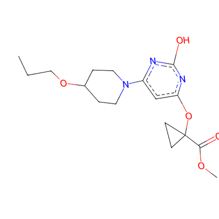 CCCOC1CCN(c2cc(OC3(C(=O)OC)CC3)nc(O)n2)CC1